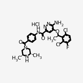 C[C@@H]1CN(C(=O)c2ccc(NC(=O)c3cc(O[C@H](C)c4c(Cl)ccc(F)c4Cl)c(N)nn3)cc2)C[C@H](C)N1.Cl